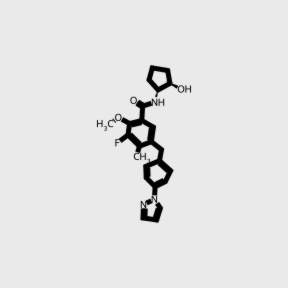 COc1c(C(=O)N[C@@H]2CCC[C@H]2O)cc(Cc2ccc(-n3cccn3)cc2)c(C)c1F